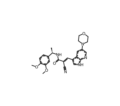 COc1ccc([C@@H](C)NC(=O)/C(C#N)=C/c2c[nH]c3ncc(N4CCOCC4)cc23)cc1OC